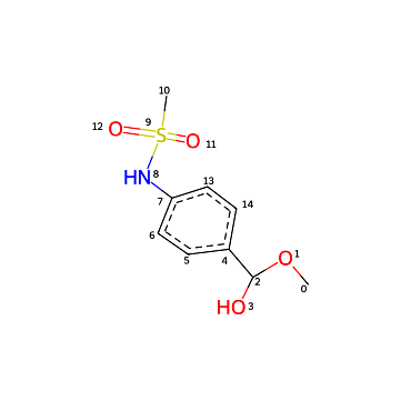 COC(O)c1ccc(NS(C)(=O)=O)cc1